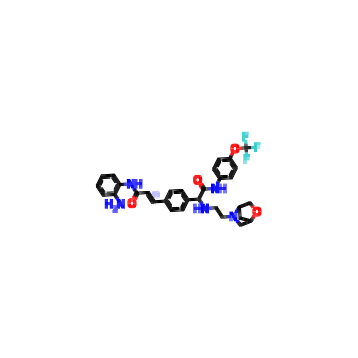 Nc1ccccc1NC(=O)/C=C/c1ccc(C(NCCN2CC3CC2CO3)C(=O)Nc2ccc(OC(F)(F)F)cc2)cc1